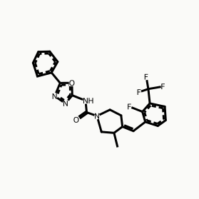 CC1CN(C(=O)Nc2nnc(-c3ccccc3)o2)CC/C1=C\c1cccc(C(F)(F)F)c1F